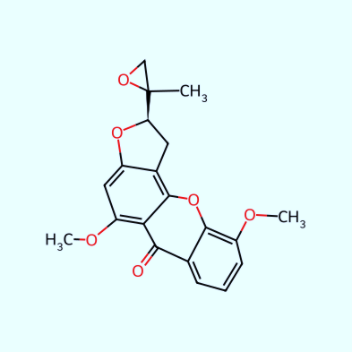 COc1cccc2c(=O)c3c(OC)cc4c(c3oc12)C[C@H](C1(C)CO1)O4